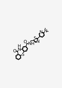 CN(C)c1ccc(-c2ncc(CNC(=O)c3ccc4c(c3)NC(=O)c3ccccc3S4)s2)cn1